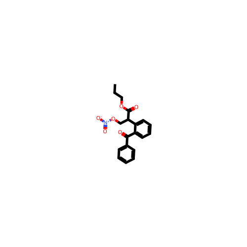 CCCOC(=O)C(CO[N+](=O)[O-])c1ccccc1C(=O)c1ccccc1